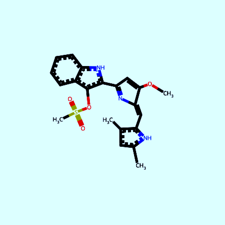 COC1=CC(c2[nH]c3ccccc3c2OS(C)(=O)=O)=NC1=Cc1[nH]c(C)cc1C